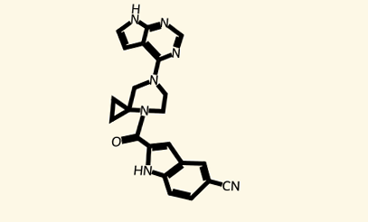 N#Cc1ccc2[nH]c(C(=O)N3CCN(c4ncnc5[nH]ccc45)CC34CC4)cc2c1